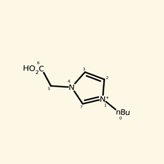 CCCC[n+]1ccn(CC(=O)O)c1